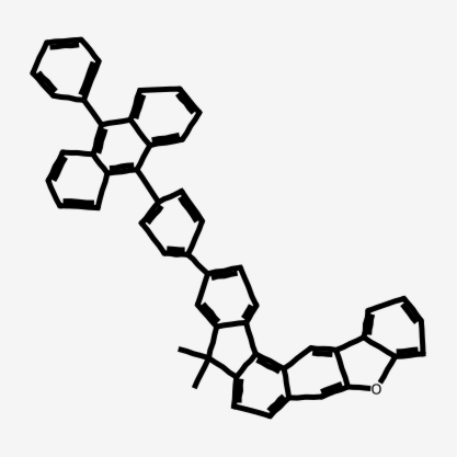 CC1(C)c2cc(-c3ccc(-c4c5ccccc5c(-c5ccccc5)c5ccccc45)cc3)ccc2-c2c1ccc1cc3oc4ccccc4c3cc21